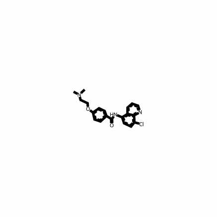 CN(C)CCOc1ccc(C(=O)Nc2ccc(Cl)c3ncccc23)cc1